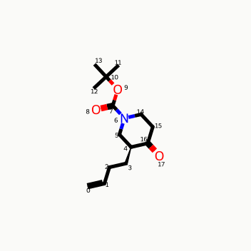 C=CCC[C@H]1CN(C(=O)OC(C)(C)C)CCC1=O